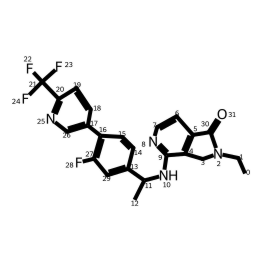 CCN1Cc2c(ccnc2NC(C)c2ccc(-c3ccc(C(F)(F)F)nc3)c(F)c2)C1=O